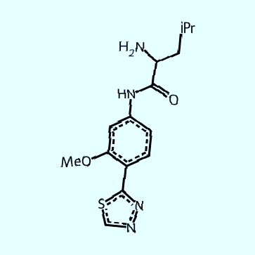 COc1cc(NC(=O)C(N)CC(C)C)ccc1-c1nncs1